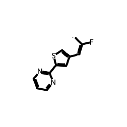 [CH2]/C(F)=C\c1csc(-c2ncccn2)c1